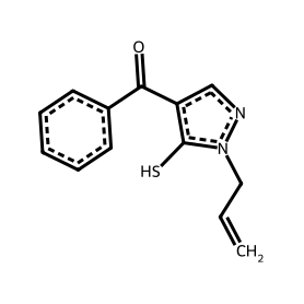 C=CCn1ncc(C(=O)c2ccccc2)c1S